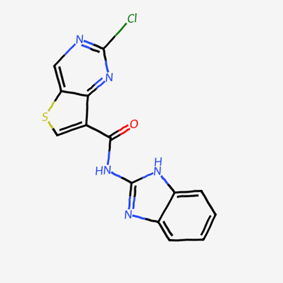 O=C(Nc1nc2ccccc2[nH]1)c1csc2cnc(Cl)nc12